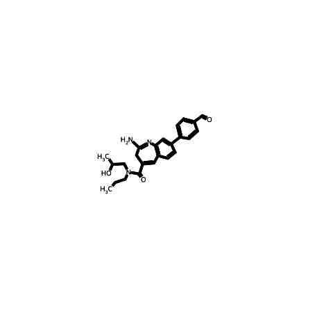 CCCN(CC(C)O)C(=O)C1=Cc2ccc(-c3ccc(C=O)cc3)cc2N=C(N)C1